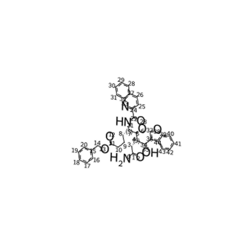 NC(=O)C[C@H](C(=O)[C@H](CCCC(=O)OCc1ccccc1)NC(=O)c1ccc2ccccc2n1)C(O)c1coc2ccccc12